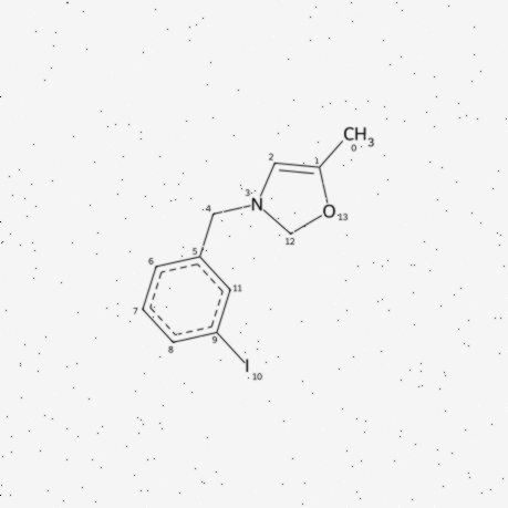 CC1=CN(Cc2cccc(I)c2)CO1